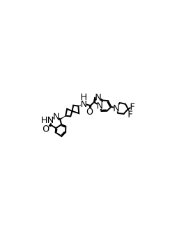 O=C(N[C@H]1CC2(C1)C[C@H](c1n[nH]c(=O)c3ccccc31)C2)c1cnc2cc(N3CCC(F)(F)CC3)ccn12